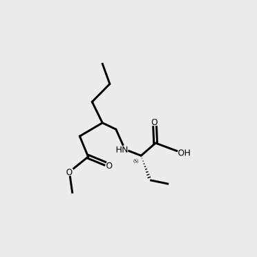 CCCC(CN[C@@H](CC)C(=O)O)CC(=O)OC